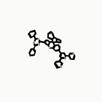 C1=CC(c2nc(C3=CC4Sc5cc(-c6cc(-c7cccnc7)nc(-c7cccnc7)c6)ccc5C5(c6ccccc6-c6ccccc65)C4C=C3)nc(-c3ccccc3)n2)=CCC1